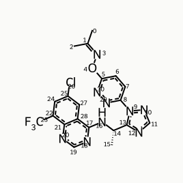 CC(C)=NOc1ccc(-n2ncnc2[C@H](C)Nc2ncnc3c(C(F)(F)F)cc(Cl)cc23)nn1